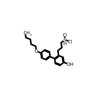 CCCCCOc1ccc(-c2ccc(O)cc2CCC[SiH](Cl)Cl)cc1